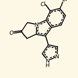 O=C1Cc2c(-c3cn[nH]c3)c3ccc(Cl)c(Cl)c3n2C1